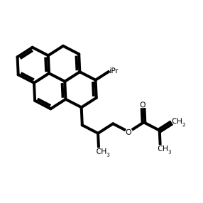 C=C(C)C(=O)OCC(C)CC1C=C(C(C)C)C2=CCc3cccc4ccc1c2c34